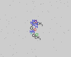 CNC(=O)c1nc(-c2cccc(C(=O)NCc3c(F)ccc(C)c3Cl)c2)cnc1N